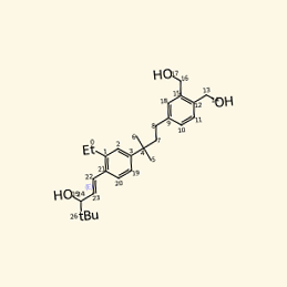 CCc1cc(C(C)(C)CCc2ccc(CO)c(CO)c2)ccc1/C=C/C(O)C(C)(C)C